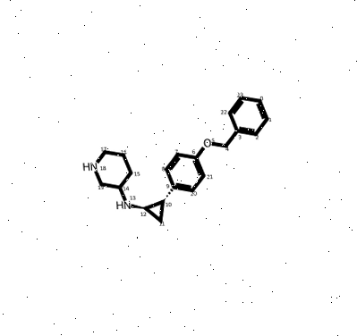 c1ccc(COc2ccc([C@@H]3C[C@H]3NC3CCCNC3)cc2)cc1